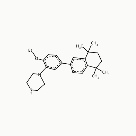 CCOc1ccc(-c2ccc3c(c2)C(C)(C)CCC3(C)C)cc1N1CCNCC1